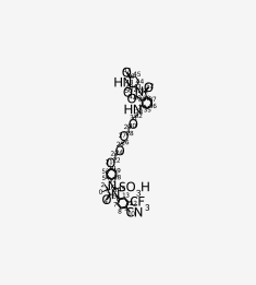 CC1(C)C(=O)N(c2ccc(C#N)c(C(F)(F)F)c2)C(S(=O)(=O)O)N1c1ccc(OCCOCCOCCOCCNc2cccc3c2C(=O)N([C@H]2CCC(=O)NC2=O)C3=O)cc1